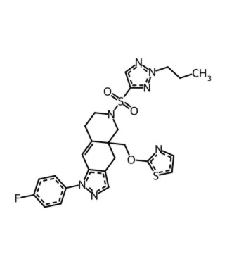 CCCn1ncc(S(=O)(=O)N2CCC3=Cc4c(cnn4-c4ccc(F)cc4)CC3(COc3nccs3)C2)n1